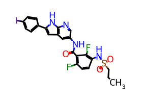 CCCS(=O)(=O)Nc1ccc(F)c(C(=O)Nc2cnc3[nH]c(-c4ccc(I)cc4)cc3c2)c1F